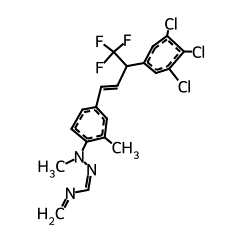 C=N/C=N\N(C)c1ccc(/C=C/C(c2cc(Cl)c(Cl)c(Cl)c2)C(F)(F)F)cc1C